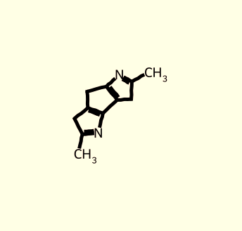 CC1=NC2=C(C1)C1=C(CC(C)=N1)C2